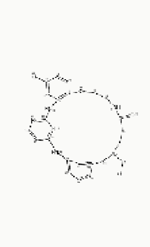 CCN1CCC(=O)NCCOc2ccc(Cl)cc2Nc2nccc(n2)Nc2cccc(c2)C1